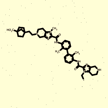 Cc1c(NC(=O)c2nc3c(n2C)CCN(CCC24CCC(C(=O)O)(CC2)C4)C3)cccc1-c1cccc(NC(=O)c2nc3c(n2CI)CCNC3)c1C